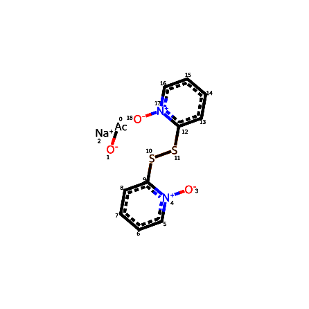 CC(=O)[O-].[Na+].[O-][n+]1ccccc1SSc1cccc[n+]1[O-]